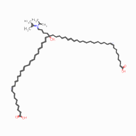 CC(C)N(CCCCC(O)(CCCCCCCCCCCCCCCCCC/C=C\CCCCCCCC(=O)O)CCCCCCCCCCCCCCCCCC/C=C\CCCCCCCC(=O)O)C(C)C